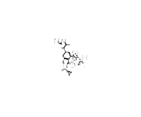 Cc1nc(N)sc1-c1cc2c(c(S(=O)(=O)NC3COC3)c1)C(=O)N(C(C)C1CC1)C2